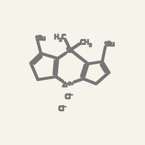 CC(C)(C)C1=CC[C]2=C1[Si](C)(C)C1=[C](CC=C1C(C)(C)C)[Zr+2]2.[Cl-].[Cl-]